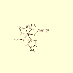 C[CH2][Ti]([CH2]C)([CH2]C)([CH2]C)([CH2]C)[C]1=CC=CC1.Cl.Cl.Cl